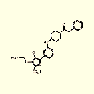 O=C(O)COc1c(C(=O)O)sc(-c2cccc(NC3CCN(C(=O)Cc4ccccc4)CC3)c2)c1Cl